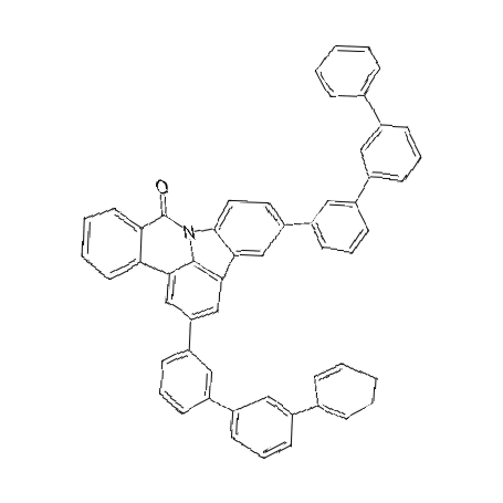 O=c1c2ccccc2c2cc(-c3cccc(-c4cccc(C5=CCCC=C5)c4)c3)cc3c4cc(-c5cccc(-c6cccc(-c7ccccc7)c6)c5)ccc4n1c23